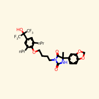 CCCc1cc(C(O)(C(F)(F)F)C(F)(F)F)cc(CCC)c1OCCCCN1C(=O)NC(C)(c2ccc3c(c2)OCO3)C1=O